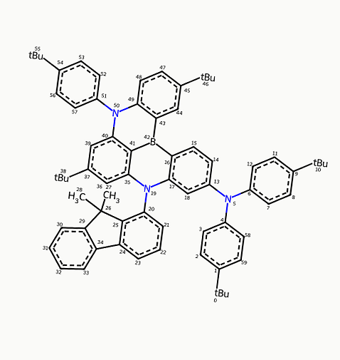 CC(C)(C)c1ccc(N(c2ccc(C(C)(C)C)cc2)c2ccc3c(c2)N(c2cccc4c2C(C)(C)c2ccccc2-4)c2cc(C(C)(C)C)cc4c2B3c2cc(C(C)(C)C)ccc2N4c2ccc(C(C)(C)C)cc2)cc1